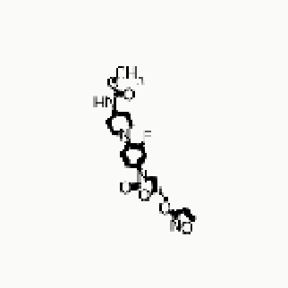 COC(=O)NC1CCN(c2ccc(N3C[C@H](COc4ccon4)OC3=O)cc2F)CC1